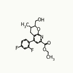 CCOC(=O)c1cc(-c2ccc(F)cc2F)c2c(n1)OC(CO)C(C)C2